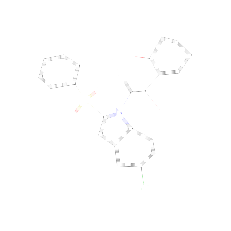 O=C=C(C(O)c1ccccc1O)n1c(S(=O)(=O)c2ccccc2)cc2cc(Cl)ccc21